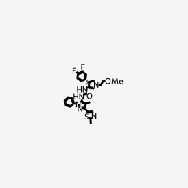 COCCN1C[C@@H](NC(=O)Nc2c(C)c(-c3cnc(C)s3)nn2-c2ccccc2)[C@H](c2ccc(F)c(F)c2)C1